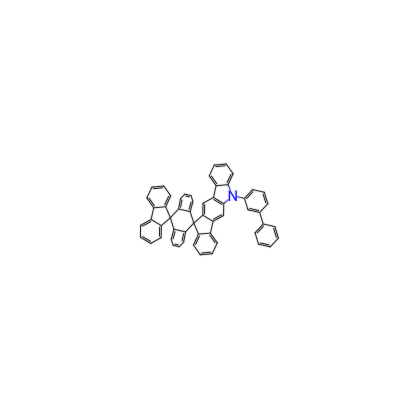 c1ccc(-c2cccc(-n3c4ccccc4c4cc5c(cc43)-c3ccccc3C53c4ccccc4C4(c5ccccc5-c5ccccc54)c4ccccc43)c2)cc1